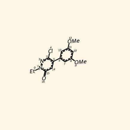 CCn1nc(Cl)c(-c2cc(OC)cc(OC)c2)cc1=O